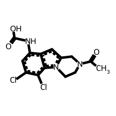 CC(=O)N1CCn2c(cc3c(NC(=O)O)cc(Cl)c(Cl)c32)C1